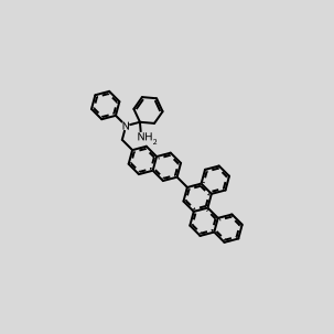 NC1(N(Cc2ccc3cc(-c4cc5ccc6ccccc6c5c5ccccc45)ccc3c2)c2ccccc2)C=CC=CC1